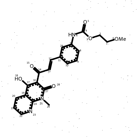 COCCOC(=O)Nc1cccc(C=CC(=O)c2c(O)c3cccnc3n(C)c2=O)c1